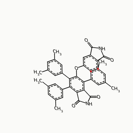 Cc1cc(C)cc(-c2c(Oc3ccc4c(c3)C(=O)NC4=O)c(-c3cc(C)cc(C)c3)c(-c3cc(C)cc(C)c3)c3c2C(=O)NC3=O)c1